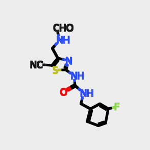 N#Cc1sc(NC(=O)NCc2cccc(F)c2)nc1CNC=O